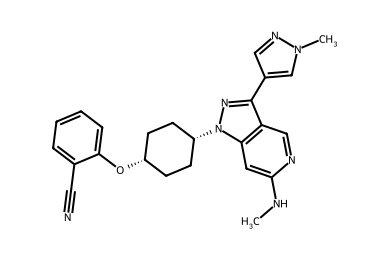 CNc1cc2c(cn1)c(-c1cnn(C)c1)nn2[C@H]1CC[C@@H](Oc2ccccc2C#N)CC1